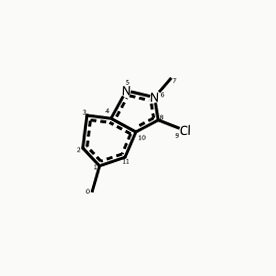 Cc1ccc2nn(C)c(Cl)c2c1